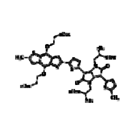 CCCCCCCCCCCCOc1c2cc(-c3ccc(C4=C5C(=C(c6ccc(C)s6)C(=O)N5CC(CCCC)CCCCCC)N(CC(CCCC)CCCCCC)C4=O)s3)sc2c(OCCCCCCCCCCCC)c2cc(C)sc12